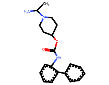 CC(N)N1CCC(OC(=O)Nc2ccccc2-c2ccccc2)CC1